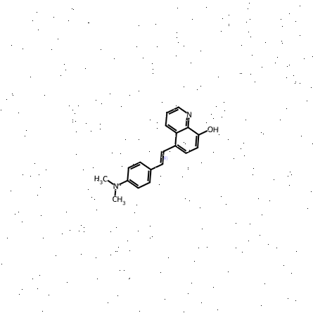 CN(C)c1ccc(/C=C/c2ccc(O)c3ncccc23)cc1